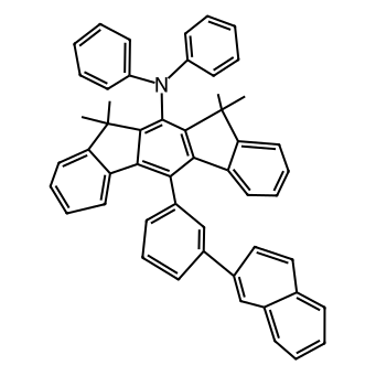 CC1(C)c2ccccc2-c2c(-c3cccc(-c4ccc5ccccc5c4)c3)c3c(c(N(c4ccccc4)c4ccccc4)c21)C(C)(C)c1ccccc1-3